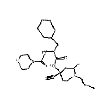 CCCN1CCC(C#N)(NC(=O)C(CC2CCCCC2)NC(=O)N2CCOCC2)CC1C